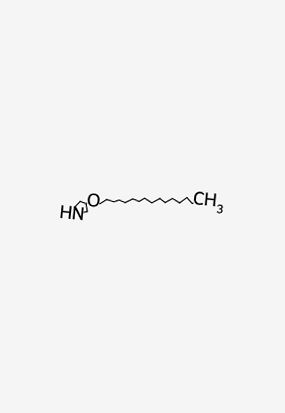 CCCCCCCCCCCCCCCCOC1CCNC1